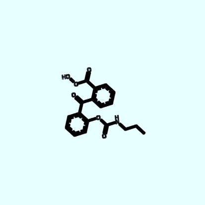 CCCNC(=O)Oc1ccccc1C(=O)c1ccccc1C(=O)OO